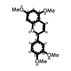 COc1cc(OC)c2c(c1)OC(c1ccc(OC)c(OC)c1)C=C2